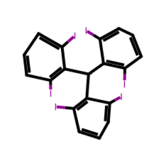 Ic1cccc(I)c1[C](c1c(I)cccc1I)c1c(I)cccc1I